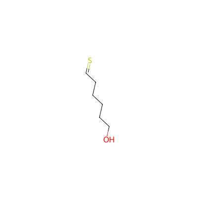 OCCCCCC=S